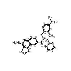 C[C@H](c1ncccn1)N(Cc1ccc(C(F)F)cn1)C(=O)c1ccc2nc(N)c3c(c2c1)COC3